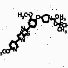 COc1ccc(-c2cn3nc(-c4ccc(OC5CCN(C(=O)OC(C)(C)C)CC5)c(OC)c4)sc3n2)cn1